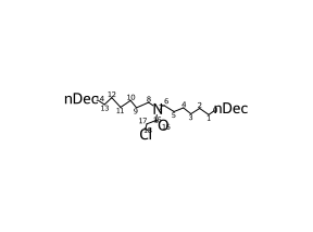 CCCCCCCCCCCCCCCCN(CCCCCCCCCCCCCCCC)C(=O)CCl